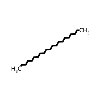 CCCC[CH]CCCCCCCCCCCCCCCC